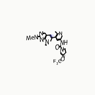 C=Nc1nc(NC)ncc1/C=C(\C)c1cc(NC(=O)N2CC[C@H](OC(F)(F)F)C2)cnc1C